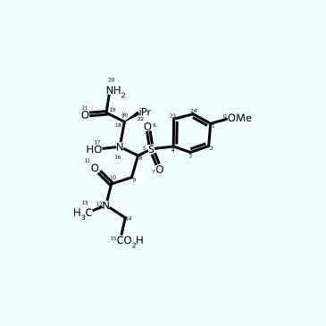 COc1ccc(S(=O)(=O)C(CC(=O)N(C)CC(=O)O)N(O)[C@@H](C(N)=O)C(C)C)cc1